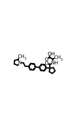 CC(NC(=O)C1(c2ccc(-c3ccc(CCN4CCCC4C)cc3)cc2)CCCC1)C(=O)O